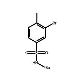 CCC(C)NS(=O)(=O)c1ccc(C)c(Br)c1